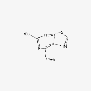 CCCC(C)c1nc(C(C)(C)C)nc2ocnc12